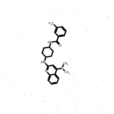 CN(C)c1cc(NC2CCC(NC(=O)c3cccc(C(F)(F)F)c3)CC2)nc2ccccc12